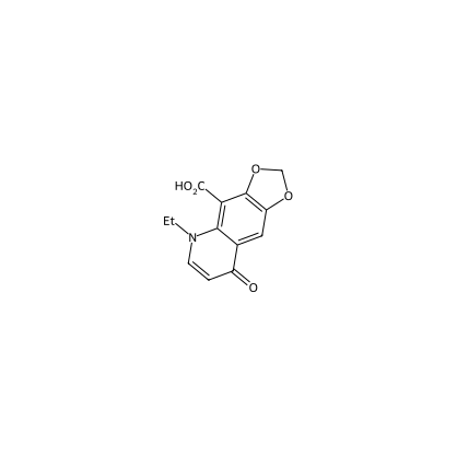 CCn1ccc(=O)c2cc3c(c(C(=O)O)c21)OCO3